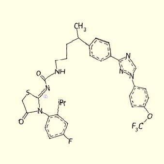 CC(C)c1cc(F)ccc1N1C(=O)CS/C1=N\C(=O)NCCCC(C)c1ccc(-c2ncn(-c3ccc(OC(F)(F)F)cc3)n2)cc1